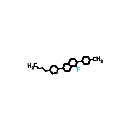 C=CCCc1ccc(-c2ccc3c(F)c(-c4ccc(C)cc4)ccc3c2)cc1